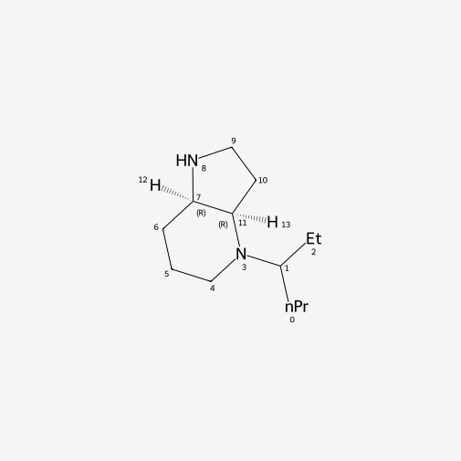 CCCC(CC)N1CCC[C@H]2NCC[C@H]21